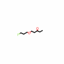 CCC(=O)CCOCCCF